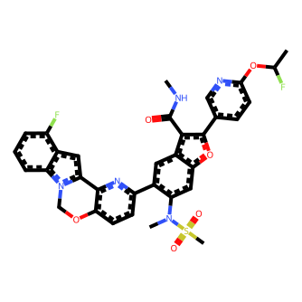 CNC(=O)c1c(-c2ccc(OC(C)F)nc2)oc2cc(N(C)S(C)(=O)=O)c(-c3ccc4c(n3)-c3cc5c(F)cccc5n3CO4)cc12